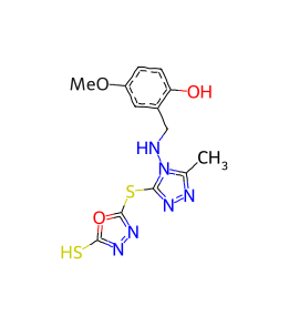 COc1ccc(O)c(CNn2c(C)nnc2Sc2nnc(S)o2)c1